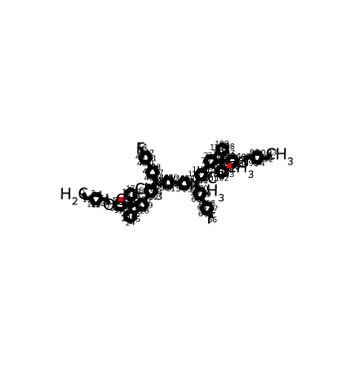 C=Cc1ccc(COc2ccc(C3(c4cc(C)ccc4C)c4ccccc4-c4ccc(-c5ccc(N(c6ccc(-c7ccc(F)cc7)cc6)c6ccc(-c7ccc(N(c8ccc(-c9ccc(F)cc9)cc8)c8ccc(-c9ccc%10c(c9)C(c9ccc(OCc%11ccc(CC)cc%11)cc9)(c9cc(C)ccc9C)c9ccccc9-%10)cc8)cc7)cc6)cc5)cc43)cc2)cc1